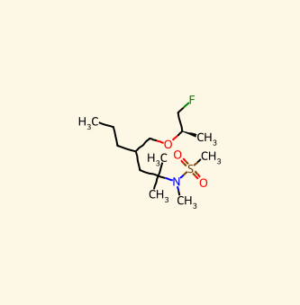 CCCC(CO[C@H](C)CF)CC(C)(C)N(C)S(C)(=O)=O